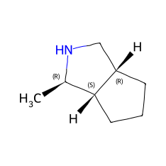 C[C@H]1NC[C@@H]2CCC[C@@H]21